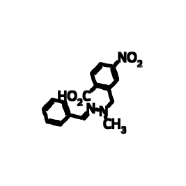 CN(Cc1cc([N+](=O)[O-])ccc1C(=O)O)N=Cc1ccccc1